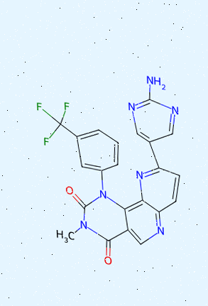 Cn1c(=O)c2cnc3ccc(-c4cnc(N)nc4)nc3c2n(-c2cccc(C(F)(F)F)c2)c1=O